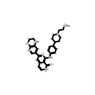 COCCN1CCC(c2ccc(Nc3nc(-c4cnc5c(c4)NCCO5)cc4cc[nH]c(=O)c34)cc2)CC1